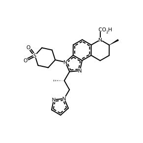 C[C@@H](Cn1cccn1)c1nc2c3c(ccc2n1C1CCS(=O)(=O)CC1)N(C(=O)O)[C@@H](C)CC3